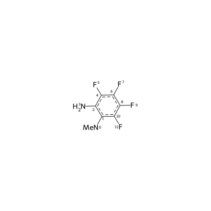 CNc1c(N)c(F)c(F)c(F)c1F